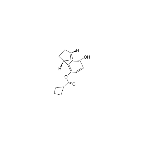 O=C(Oc1ccc(O)c2c1[C@@H]1CC[C@H]2C1)C1CCC1